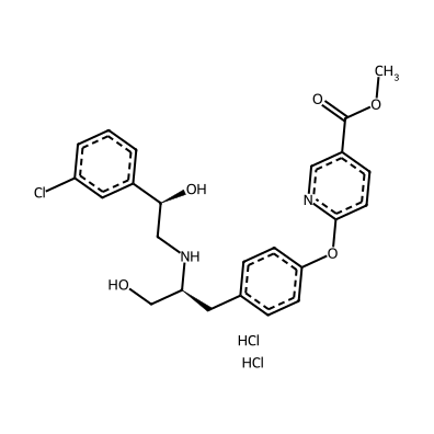 COC(=O)c1ccc(Oc2ccc(C[C@@H](CO)NC[C@H](O)c3cccc(Cl)c3)cc2)nc1.Cl.Cl